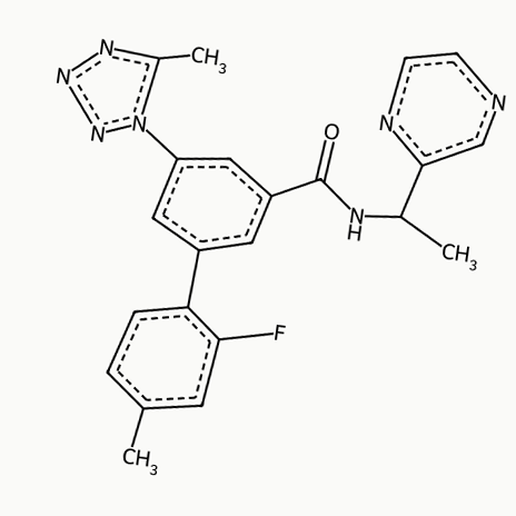 Cc1ccc(-c2cc(C(=O)NC(C)c3cnccn3)cc(-n3nnnc3C)c2)c(F)c1